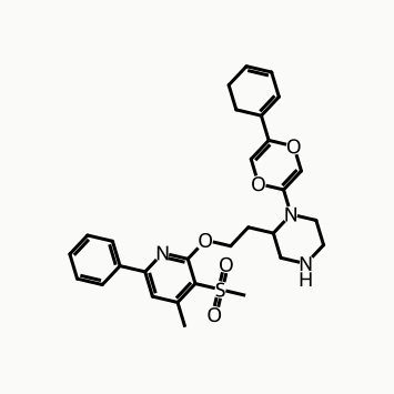 Cc1cc(-c2ccccc2)nc(OCCC2CNCCN2C2=COC(C3=CC=CCC3)=CO2)c1S(C)(=O)=O